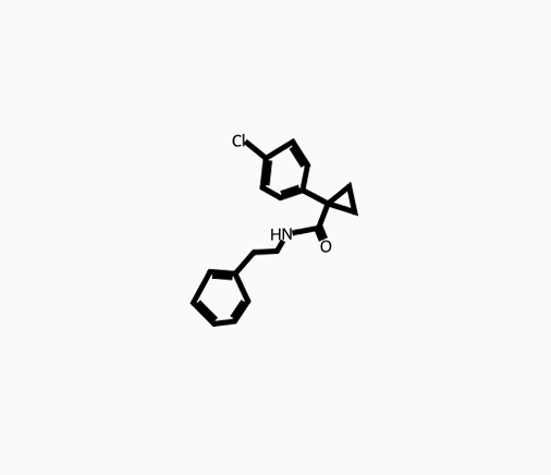 O=C(NCCc1ccccc1)C1(c2ccc(Cl)cc2)CC1